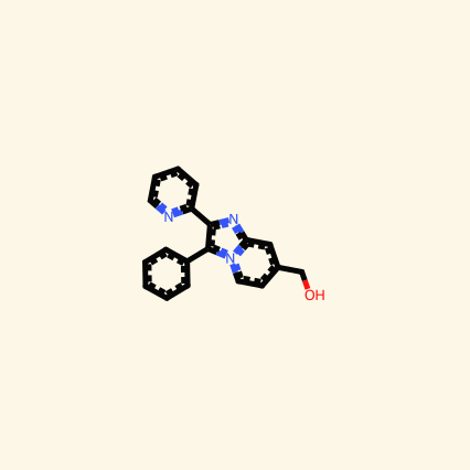 OCc1ccn2c(-c3ccccc3)c(-c3ccccn3)nc2c1